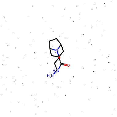 NCCCN1C2CCC1CC(C(N)=O)C2